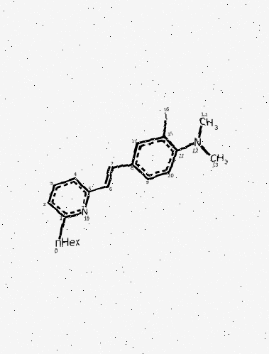 CCCCCCc1cccc(/C=C/c2ccc(N(C)C)c(I)c2)n1